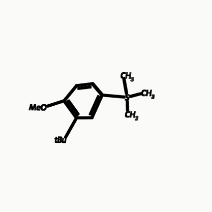 COc1ccc(S(C)(C)C)cc1C(C)(C)C